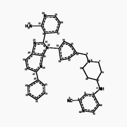 N#Cc1cc(NC2CCN(Cc3ccc(-n4c(-c5cccnc5N)nc5ccc(-c6ccccc6)nc54)cc3)CC2)ccn1